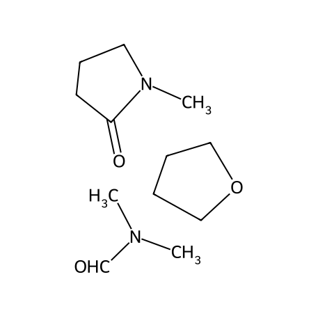 C1CCOC1.CN(C)C=O.CN1CCCC1=O